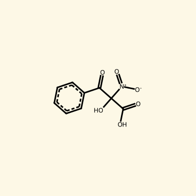 O=C(O)C(O)(C(=O)c1ccccc1)[N+](=O)[O-]